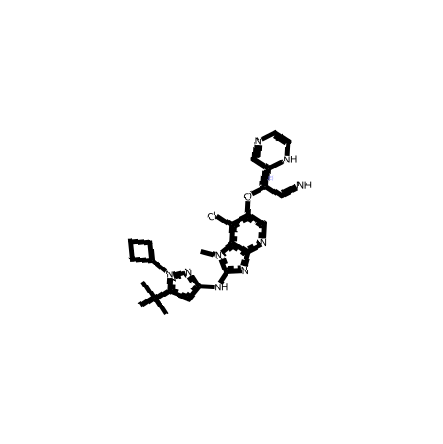 Cn1c(Nc2cc(C(C)(C)C)n(C3CCC3)n2)nc2ncc(O/C(C=N)=C3\C=NC=CN3)c(Cl)c21